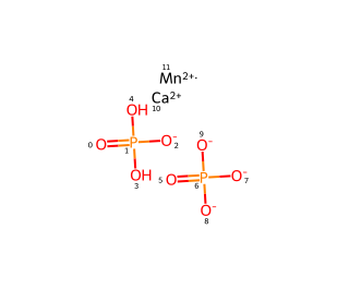 O=P([O-])(O)O.O=P([O-])([O-])[O-].[Ca+2].[Mn+2]